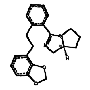 c1ccc(C2=NC[C@@H]3CCCN23)c(CCc2cccc3c2OCO3)c1